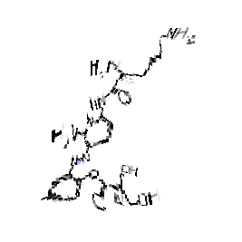 NCCCC[C@H](N)C(=O)Nc1ccc(/N=N/c2ccccc2OC(=O)[C@@H](O)CO)c(N)n1